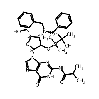 CC(C)C(=O)Nc1nc2c(ncn2[C@@H]2O[C@H](CO)[C@H](N(Cc3ccccc3)Cc3ccccc3)C2O[Si](C)(C)C(C)(C)C)c(=O)[nH]1